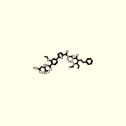 CCOc1cc(-c2ccc(C(=O)NCNC(=O)C(CCc3ccccc3)C(CC)N(O)C=O)o2)ccc1C(=O)NC(CC(=O)O)C(=O)O